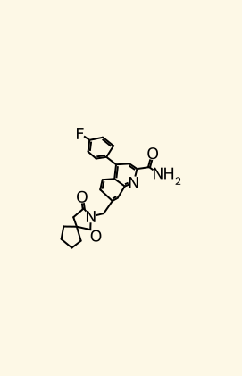 NC(=O)c1cc(-c2ccc(F)cc2)c2ccc(CN3C(=O)CC4(CCCC4)C3=O)cc2n1